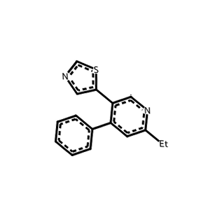 CCc1cc(-c2ccccc2)c(-c2cncs2)[c]n1